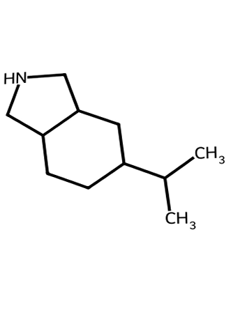 CC(C)C1CCC2CNCC2C1